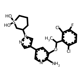 CC(Oc1cc(-c2cnn(C3CCCS(O)(O)C3)c2)cnc1N)c1c(Cl)ccc(F)c1Cl